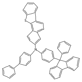 c1ccc(-c2ccc(N(c3ccc(C4(c5ccccc5)c5ccccc5-c5ccccc54)cc3)c3ccc4c(ccc5c6ccccc6sc45)c3)cc2)cc1